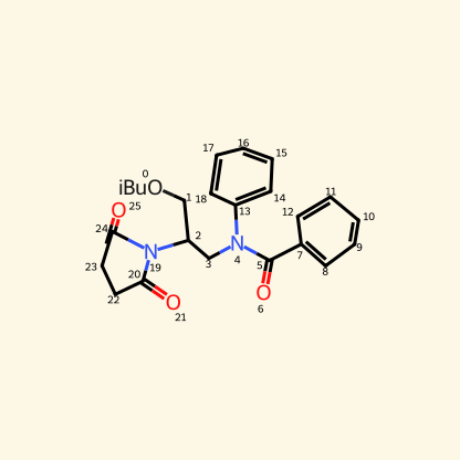 CC(C)COCC(CN(C(=O)c1ccccc1)c1ccccc1)N1C(=O)CCC1=O